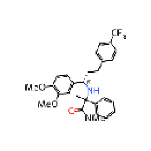 CNC(=O)C(C)(N[C@@H](CCc1ccc(C(F)(F)F)cc1)c1ccc(OC)c(OC)c1)c1ccccc1